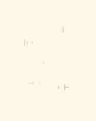 [CH2]C1(C)CC2CC1C(O)C2O